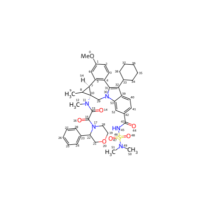 COc1ccc2c(c1)[C@@H]1C(C)[C@]1(N(C)C(=O)C(=O)N1CCOCC1c1ccccc1)Cn1c-2c(C2CCCCC2)c2ccc(C(=O)NS(=O)(=O)N(C)C)cc21